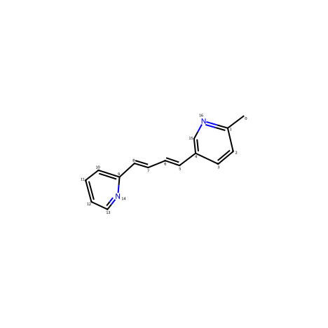 Cc1ccc(/C=C/C=C/c2ccccn2)cn1